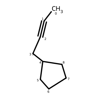 CC#C[CH]C1CCCC1